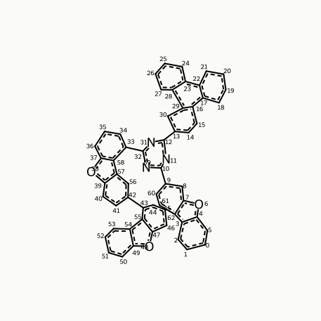 c1ccc2c(c1)oc1cc(-c3nc(-c4ccc5c6ccccc6c6ccccc6c5c4)nc(-c4cccc5oc6ccc(-c7cccc8oc9ccccc9c78)cc6c45)n3)ccc12